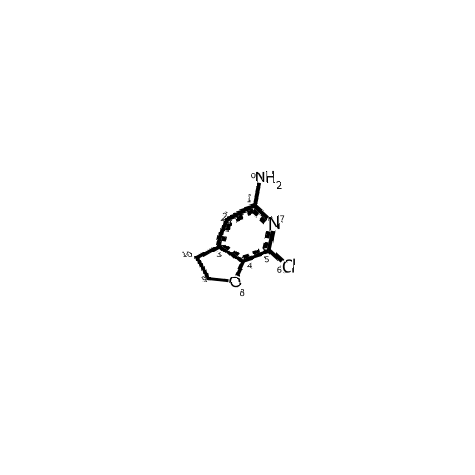 Nc1cc2c(c(Cl)n1)OCC2